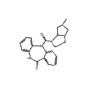 CN1CC2CCN(C(=O)N3c4ccccc4NC(=O)c4cccnc43)C2C1